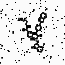 O=C(O)CCNC(=O)c1ccc(N[C@@H](Cc2c[nH]c3ccccc23)C(=O)Nc2ccc(-c3cc4ccccc4o3)cc2)cc1